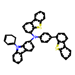 C1=CCCC(n2c3ccccc3c3ccc(N(c4ccc(-c5cccc6c5sc5ccccc56)cc4)c4cccc5c4sc4ccccc45)cc32)=C1